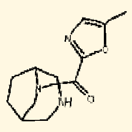 Cc1cnc(C(=O)N2CC3CCC2CNC3)o1